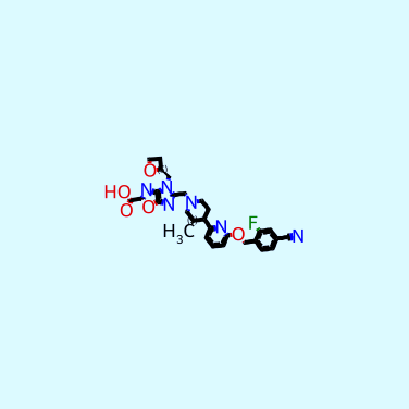 C[C@@H]1CN(Cc2nc3oc(C(=O)O)nc3n2C[C@@H]2CCO2)CCC1c1cccc(OCc2ccc(C#N)cc2F)n1